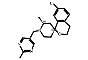 Cc1ncc(CN2CC[C@]3(C[C@@H]2C)OCCc2ccc(Cl)cc23)cn1